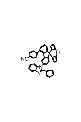 N#Cc1ccc(-c2cccc3c2-c2cc(-n4c(-c5ccccc5)nc5ccccc54)ccc2C32c3ccccc3Oc3ccccc32)cc1